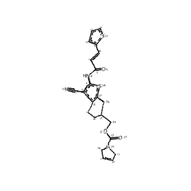 N#Cc1c(NC(=O)C=Cc2cccs2)sc2c1CCC(COC(=O)N1CC=CC1)C2